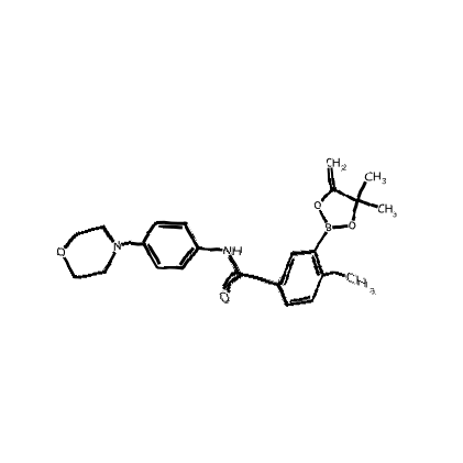 C=C1OB(c2cc(C(=O)Nc3ccc(N4CCOCC4)cc3)ccc2C)OC1(C)C